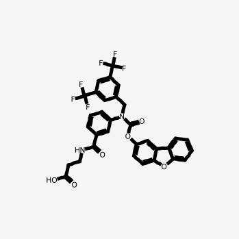 O=C(O)CCNC(=O)c1cccc(N(Cc2cc(C(F)(F)F)cc(C(F)(F)F)c2)C(=O)Oc2ccc3oc4ccccc4c3c2)c1